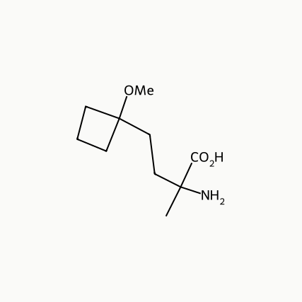 COC1(CCC(C)(N)C(=O)O)CCC1